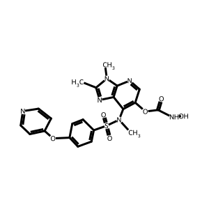 Cc1nc2c(N(C)S(=O)(=O)c3ccc(Oc4ccncc4)cc3)c(OC(=O)NO)cnc2n1C